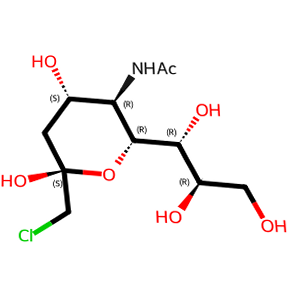 CC(=O)N[C@H]1[C@H]([C@H](O)[C@H](O)CO)O[C@](O)(CCl)C[C@@H]1O